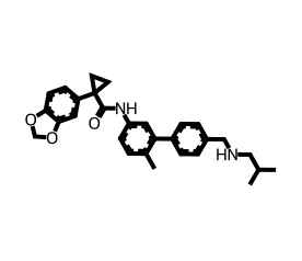 Cc1ccc(NC(=O)C2(c3ccc4c(c3)OCO4)CC2)cc1-c1ccc(CNCC(C)C)cc1